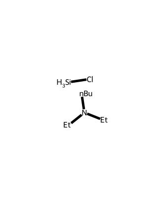 CCCCN(CC)CC.[SiH3]Cl